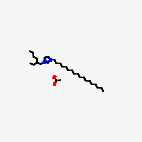 CC(=O)[O-].CCCCCCCCCCCCCCCCCCn1cc[n+](CC(CC)CCCC)c1